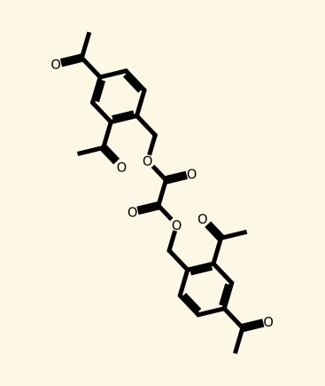 CC(=O)c1ccc(COC(=O)C(=O)OCc2ccc(C(C)=O)cc2C(C)=O)c(C(C)=O)c1